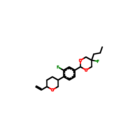 C=CC1CCC(c2ccc(C3OCC(F)(CCC)CO3)cc2F)CO1